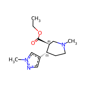 CCOC(=O)[C@H]1CN(C)CC[C@@H]1c1cnn(C)c1